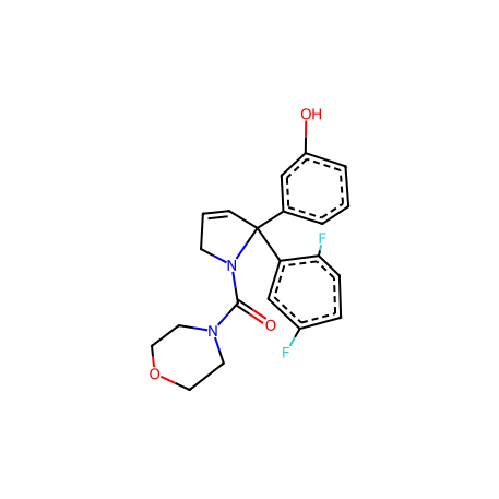 O=C(N1CCOCC1)N1CC=CC1(c1cccc(O)c1)c1cc(F)ccc1F